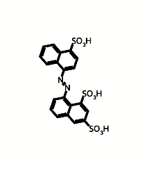 O=S(=O)(O)c1cc(S(=O)(=O)O)c2c(N=Nc3ccc(S(=O)(=O)O)c4ccccc34)cccc2c1